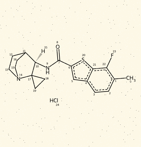 Cc1ccc2cc(C(=O)N[C@@H]3C4CCN(CC4)C34CC4)sc2c1F.Cl